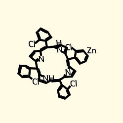 Clc1ccccc1-c1c2nc(c(-c3ccccc3Cl)c3ccc([nH]3)c(-c3ccccc3Cl)c3nc(c(-c4ccccc4Cl)c4ccc1[nH]4)C=C3)C=C2.[Zn]